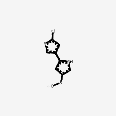 OSc1c[nH]c(-c2csc(Cl)c2)c1